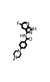 CN1CCN(c2ccc(C(=O)Nc3n[nH]c4ncc(F)cc34)cc2)CC1